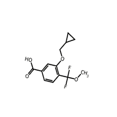 COC(F)(F)c1ccc(C(=O)O)cc1OCC1CC1